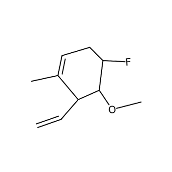 C=CC1C(C)=CCC(F)C1OC